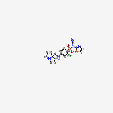 N#CN(c1nccs1)S(=O)(=O)c1ccc(NCC23CCCN2CCC3)cc1F